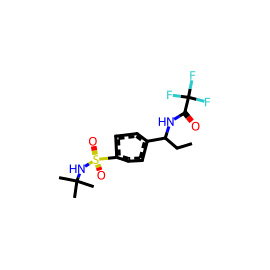 CCC(NC(=O)C(F)(F)F)c1ccc(S(=O)(=O)NC(C)(C)C)cc1